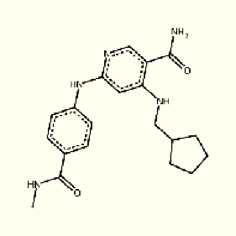 CNC(=O)c1ccc(Nc2cc(NCC3CCCC3)c(C(N)=O)cn2)cc1